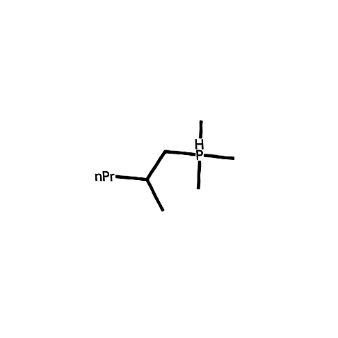 CCCC(C)C[PH](C)(C)C